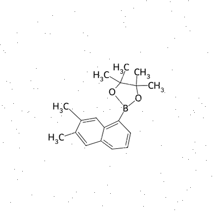 Cc1cc2cccc(B3OC(C)(C)C(C)(C)O3)c2cc1C